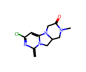 C=C1N=C(Cl)C=C2N1CC1CN(C)C(=O)CN21